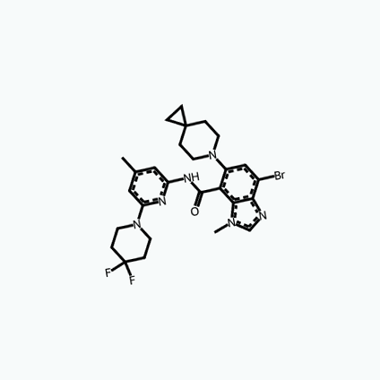 Cc1cc(NC(=O)c2c(N3CCC4(CC3)CC4)cc(Br)c3ncn(C)c23)nc(N2CCC(F)(F)CC2)c1